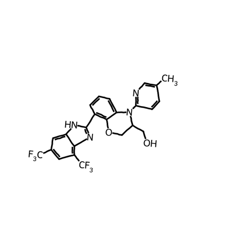 Cc1ccc(N2c3cccc(-c4nc5c(C(F)(F)F)cc(C(F)(F)F)cc5[nH]4)c3OCC2CO)nc1